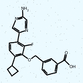 Nc1cnc(-c2ccc(C3CCC3)c(OCc3cccc(C(=O)O)c3)c2F)cn1